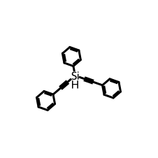 C(#C[SiH](C#Cc1ccccc1)c1ccccc1)c1ccccc1